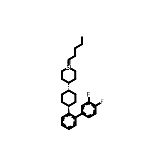 CCCCC[SiH]1CCC([C@H]2CC[C@H](c3ccccc3-c3ccc(F)c(F)c3)CC2)CC1